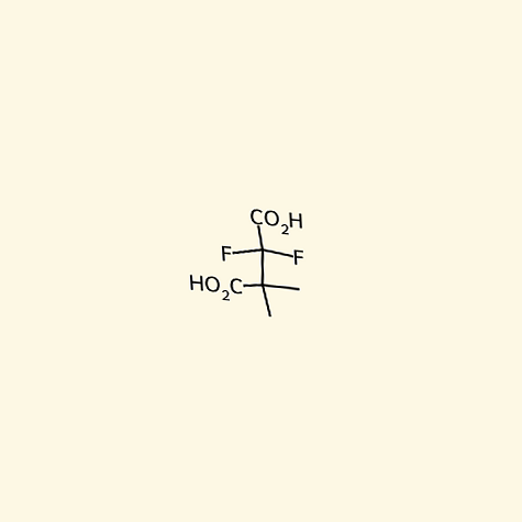 CC(C)(C(=O)O)C(F)(F)C(=O)O